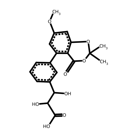 COc1cc2c(c(-c3cccc(C(O)C(O)C(=O)O)c3)c1)C(=O)OC(C)(C)O2